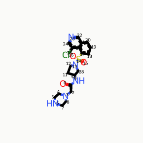 O=C(CN1CCNCC1)N[C@H]1CCN(S(=O)(=O)c2cccc3cncc(Cl)c23)C1